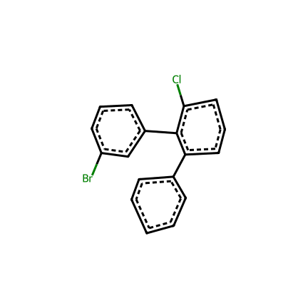 Clc1cccc(-c2ccccc2)c1-c1cccc(Br)c1